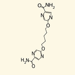 NC(=O)c1cnc(OCCCCCOc2cnc(C(N)=O)cn2)cn1